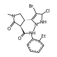 CCc1ccccc1NC(=O)[C@H]1C(=O)N(C)C[C@@H]1C1=C(Br)C(Cl)NN1C